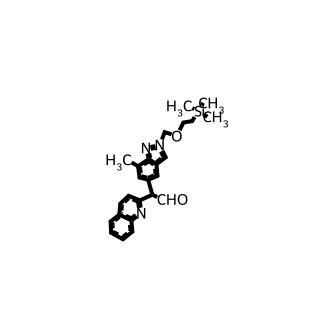 Cc1cc(C(C=O)c2ccc3ccccc3n2)cc2cn(COCC[Si](C)(C)C)nc12